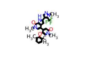 Cc1cccc(C)c1Oc1cn(C)c(=O)cc1-c1cn(C)c(=O)c2[nH]c(-c3cnn(C)c3C(F)(F)F)cc12